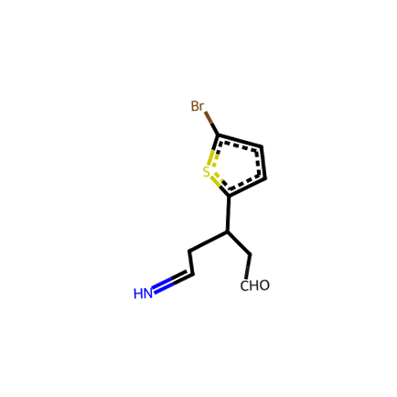 N=CCC(CC=O)c1ccc(Br)s1